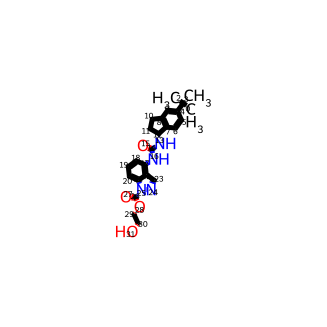 CC(C)(C)c1ccc2c(c1)CC[C@H]2NC(=O)Nc1cccc2c1cnn2C(=O)OCCO